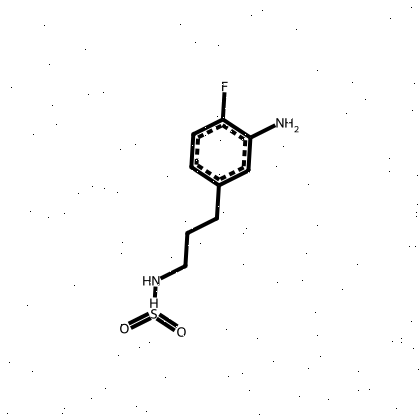 Nc1cc(CCCN[SH](=O)=O)ccc1F